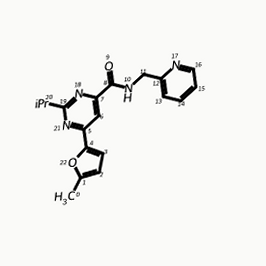 Cc1ccc(-c2cc(C(=O)NCc3ccccn3)nc(C(C)C)n2)o1